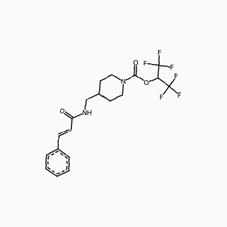 O=C(C=Cc1ccccc1)NCC1CCN(C(=O)OC(C(F)(F)F)C(F)(F)F)CC1